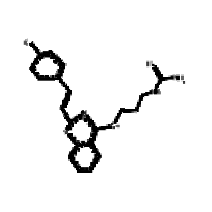 N=C(N)NCCCNc1nc(C=Cc2ccc(Cl)cc2)nc2ccccc12